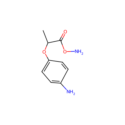 CC(Oc1ccc(N)cc1)C(=O)ON